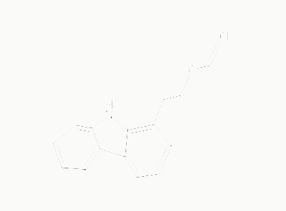 C=COCCc1cccc2c1[nH]c1ccccc12